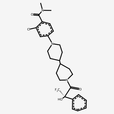 CN(C)C(=O)c1ccc(N2CCC(C3CCN(C(=O)[C@](O)(c4ccccc4)C(F)(F)F)CC3)CC2)cc1Cl